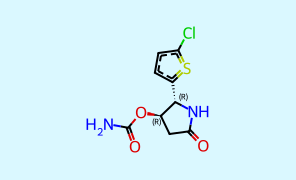 NC(=O)O[C@@H]1CC(=O)N[C@H]1c1ccc(Cl)s1